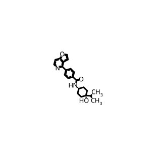 CC(C)[C@]1(O)CC[C@@H](NC(=O)c2ccc(-c3nccc4occc34)cc2)CC1